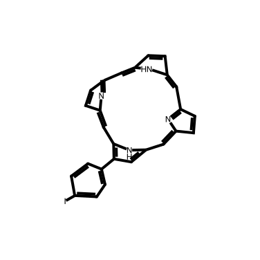 Ic1ccc(-c2cc3cc4nc(cc5ccc(cc6nc(cc2[nH]3)C=C6)[nH]5)C=C4)cc1